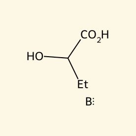 CCC(O)C(=O)O.[B]